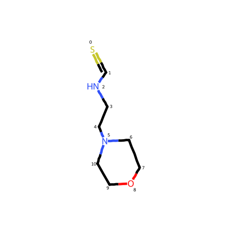 S=CNCCN1CCOCC1